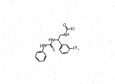 CCC(=O)NCC(NC(=S)Nc1ccccc1)c1cccc(C(F)(F)F)c1